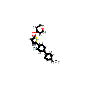 CCCc1ccc(-c2ccc(-c3ccc(OC4CCOCC4)s3)c(F)c2)cc1